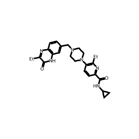 CCc1nc(C(=O)NC2CC2)ccc1N1CCN(Cc2ccc3nc(CC)c(=O)[nH]c3c2)CC1